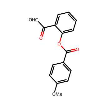 COc1ccc(C(=O)Oc2ccccc2C(=O)C=O)cc1